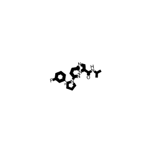 CC(C)NC(=O)c1cnc2ccc(N3CCC[C@@H]3c3cccc(F)c3)nn12